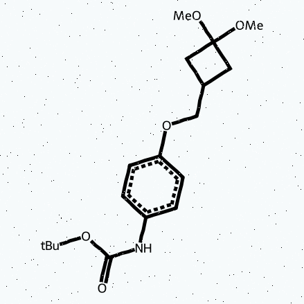 COC1(OC)CC(COc2ccc(NC(=O)OC(C)(C)C)cc2)C1